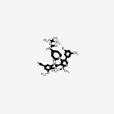 COc1cc(C#N)cc2[nH]c(-c3c(N(C)C)ncc(-c4cc(C)cc(F)c4)c3N3CCC(NC(=O)OC(C)(C)C)CC3)nc12